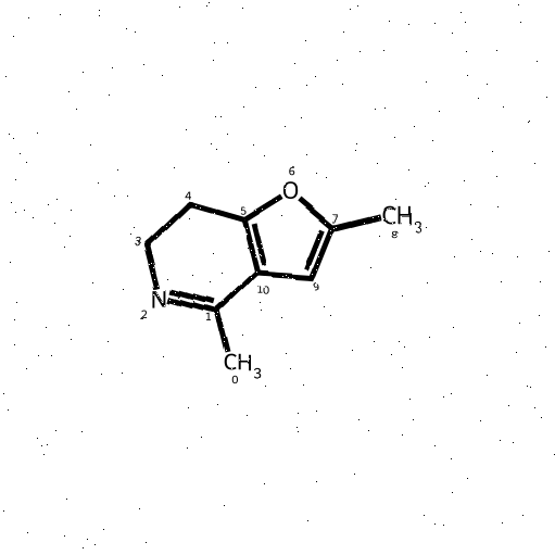 CC1=NCCc2oc(C)cc21